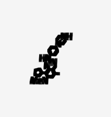 CNc1cc(C)c2cnc(Nc3ccc(N4CCNCC4)cc3)nc2c1C1CCCC1